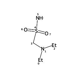 CCN(CC)CS([NH])(=O)=O